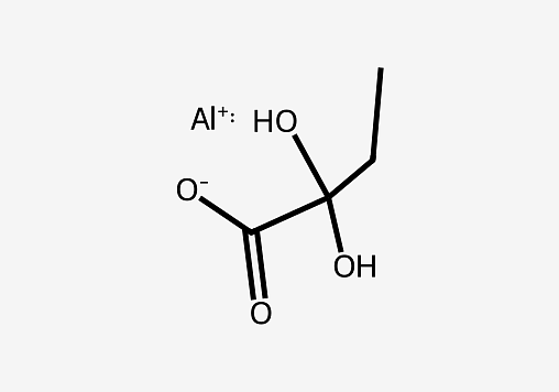 CCC(O)(O)C(=O)[O-].[Al+]